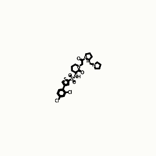 O=C1[C@@H](NS(=O)(=O)c2cc(-c3ccc(Cl)cc3Cl)cs2)CCCN1CC(=O)N1CCC[C@H]1CN1CCCC1